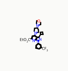 CCOC(=O)c1cc(N2CCC(N3CCOCC3)CC2)c2c(C3CCC3)nn(-c3cccc(C(F)(F)F)c3)c2n1